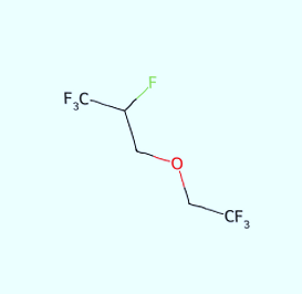 FC(COCC(F)(F)F)C(F)(F)F